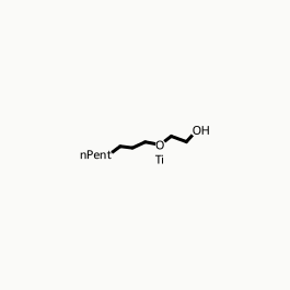 CCCCCCCCOCCO.[Ti]